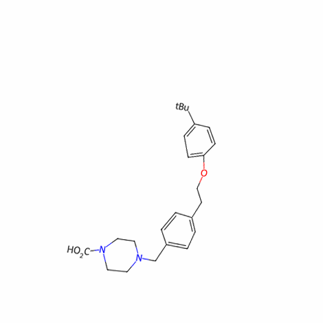 CC(C)(C)c1ccc(OCCc2ccc(CN3CCN(C(=O)O)CC3)cc2)cc1